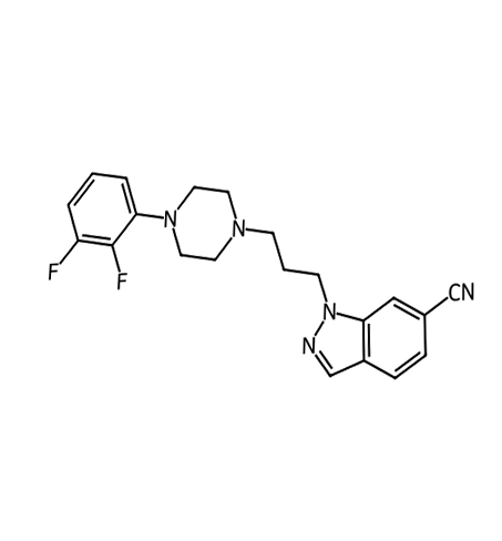 N#Cc1ccc2cnn(CCCN3CCN(c4cccc(F)c4F)CC3)c2c1